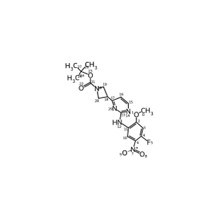 COc1cc(F)c([N+](=O)[O-])cc1Nc1nccc(C2CN(C(=O)OC(C)(C)C)C2)n1